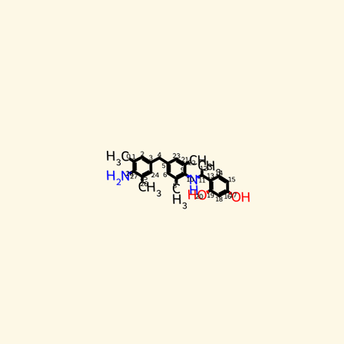 Cc1cc(Cc2cc(C)c(NC(C)c3ccc(O)cc3O)c(C)c2)cc(C)c1N